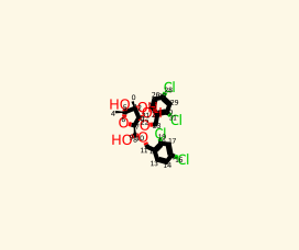 C[C@]1(O)[C@@](C)(O)O[C@H](C(O)OCc2ccc(Cl)cc2Cl)[C@]1(O)OCc1ccc(Cl)cc1Cl